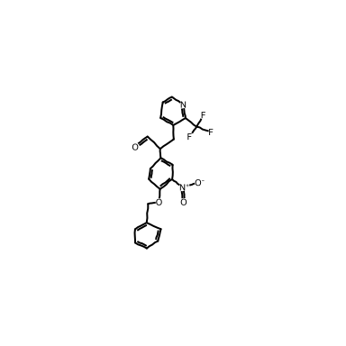 O=CC(Cc1cccnc1C(F)(F)F)c1ccc(OCc2ccccc2)c([N+](=O)[O-])c1